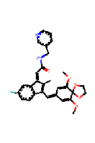 COC1=CC(=CC2=C(C)C(=CC(=O)NCc3cccnc3)c3cc(F)ccc32)C=C(OC)C12OCCO2